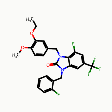 CCOc1cc(Cn2c(=O)n(Cc3ccccc3F)c3cc(C(F)(F)F)cc(F)c32)ccc1OC